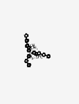 CC1(C)c2cc(-c3ccc(-c4ccccc4)cc3)ccc2-c2ccc(N(c3ccc(-c4cccc(-c5ccccc5)c4)cc3)c3ccc4c(c3)C(C)(C)c3cc(-c5ccc(-c6ccccc6)cc5)ccc3-4)cc21